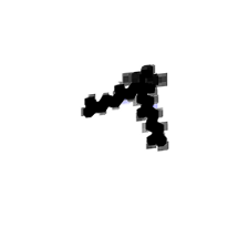 CC(C)=CCC/C(C)=C/CC(C)(C/C=C(\C)CCC=C(C)C)P(=O)(O)O